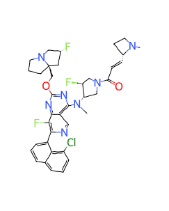 CN1CC[C@H]1/C=C/C(=O)N1C[C@H](F)[C@@H](N(C)c2nc(OC[C@@]34CCCN3C[C@H](F)C4)nc3c(F)c(-c4cccc5cccc(Cl)c45)ncc23)C1